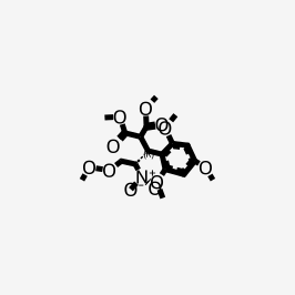 COOCC([C@@H](c1c(OC)cc(OC)cc1OC)C(C(=O)OC)C(=O)OC)[N+](=O)[O-]